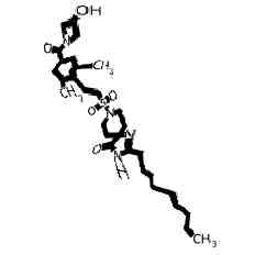 CCCCCCCCCC1=NC2(CCN(S(=O)(=O)CCc3c(C)cc(C(=O)N4CC(O)C4)cc3C)CC2)C(=O)N1